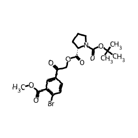 COC(=O)c1cc(C(=O)COC(=O)[C@@H]2CCCN2C(=O)OC(C)(C)C)ccc1Br